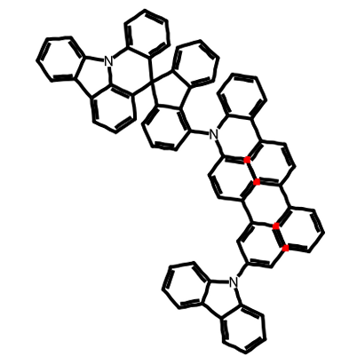 c1ccc(-c2ccc(-c3ccccc3N(c3ccc(-c4cccc(-n5c6ccccc6c6ccccc65)c4)cc3)c3cccc4c3-c3ccccc3C43c4ccccc4-n4c5ccccc5c5cccc3c54)cc2)cc1